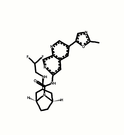 Cc1ncc(-c2cnc3cnc(NC(=O)N4[C@@H]5CC[C@H]4C[C@@H](NCC(F)F)C5)cc3c2)o1